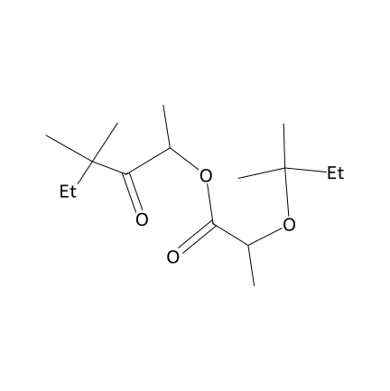 CCC(C)(C)OC(C)C(=O)OC(C)C(=O)C(C)(C)CC